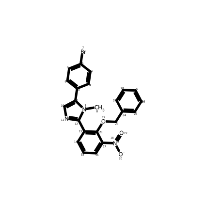 Cn1c(-c2ccc(Br)cc2)cnc1-c1cccc([N+](=O)[O-])c1OCc1ccccc1